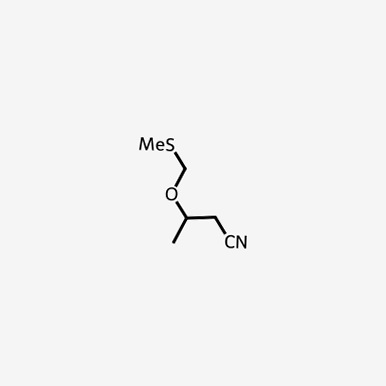 CSCOC(C)CC#N